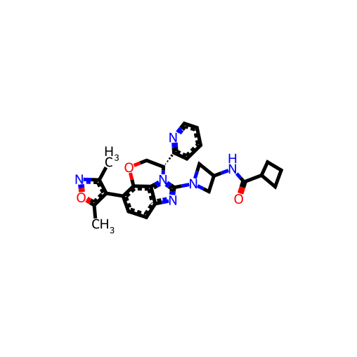 Cc1noc(C)c1-c1ccc2nc(N3CC(NC(=O)C4CCC4)C3)n3c2c1OC[C@@H]3c1ccccn1